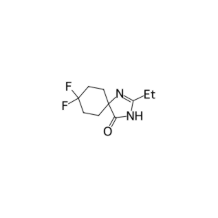 CCC1=NC2(CCC(F)(F)CC2)C(=O)N1